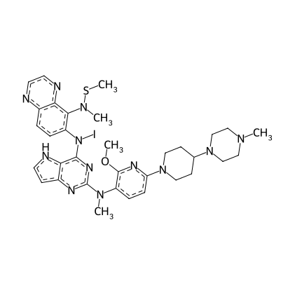 COc1nc(N2CCC(N3CCN(C)CC3)CC2)ccc1N(C)c1nc(N(I)c2ccc3nccnc3c2N(C)SC)c2[nH]ccc2n1